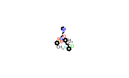 C/C(=C\c1ccc2c(c1)N(S(=O)(=O)c1cccc(C)c1)C[C@H](CCn1cccn1)O2)c1c(F)cccc1Cl